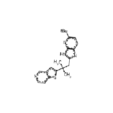 CC(C)(C)c1ccc2nc(CC(C)(C)c3cc4cnccc4s3)[nH]c2n1